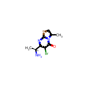 Cc1csc2nc([C@H](C)N)c(Br)c(=O)n12